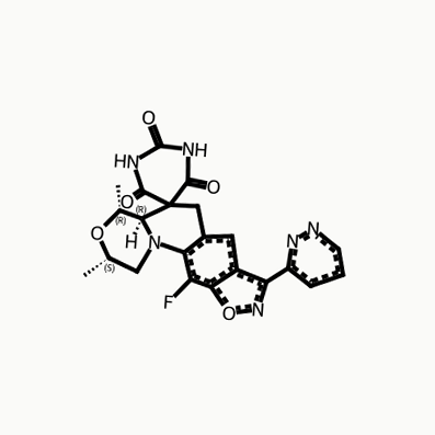 C[C@H]1CN2c3c(cc4c(-c5cccnn5)noc4c3F)CC3(C(=O)NC(=O)NC3=O)[C@@H]2[C@@H](C)O1